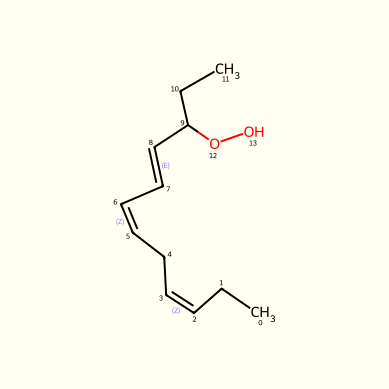 CC/C=C\C/C=C\C=C\C(CC)OO